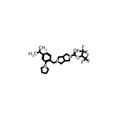 CC(C)c1ccc(CN2CC3CN(C(=O)OC(C(F)(F)F)C(F)(F)F)CC3C2)c(N2CCCC2)c1